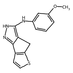 COc1cccc(Nc2[nH]nc3c2Cc2sccc2-3)c1